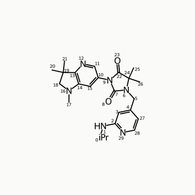 CC(C)Nc1cc(CN2C(=O)N(c3cnc4c(c3)N(C)CC4(C)C)C(=O)C2(C)C)ccn1